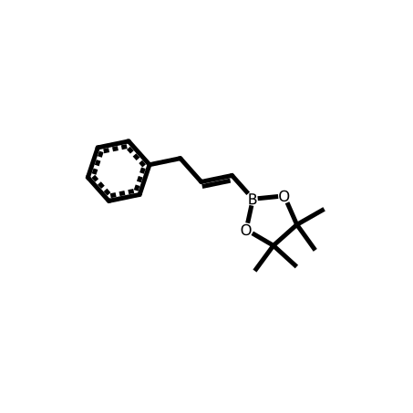 CC1(C)OB(/C=C/Cc2ccccc2)OC1(C)C